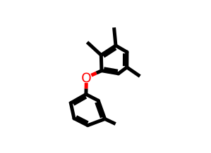 Cc1cccc(Oc2cc(C)cc(C)c2C)c1